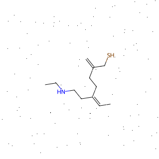 C=C(CS)CC/C(=C\C)CCNCC